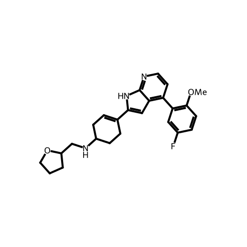 COc1ccc(F)cc1-c1ccnc2[nH]c(C3=CCC(NCC4CCCO4)CC3)cc12